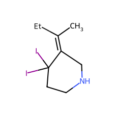 CC/C(C)=C1/CNCCC1(I)I